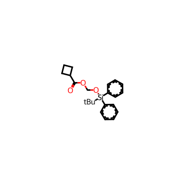 CC(C)(C)[Si](OCOC(=O)C1CCC1)(c1ccccc1)c1ccccc1